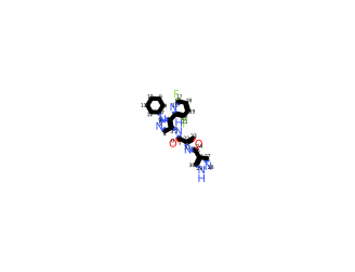 O=C(Nc1cnn(C2CCCCC2)c1-c1nc(F)ccc1F)c1coc(-c2cn[nH]c2)n1